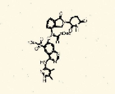 CCCCCCCCCCC(=O)N(Oc1cc2ncnc(Nc3n[nH]c(C)c3C)c2cc1S(=O)(=O)C(C)(C)C)c1cccc2c1CN(C1CCC(=O)NC1=O)C2=O